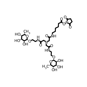 C[C@@H]1O[C@H](OCCNC(=O)CN(CC(=O)NCCCCCC(=O)ON2C(=O)CCC2=O)CC(=O)NCCO[C@H]2O[C@@H](C)[C@@H](O)[C@@H](O)[C@@H]2O)[C@@H](O)[C@H](O)[C@@H]1O